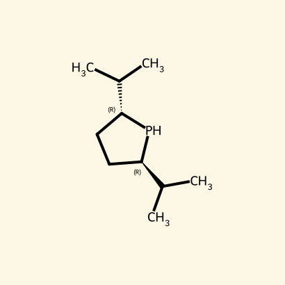 CC(C)[C@H]1CC[C@H](C(C)C)P1